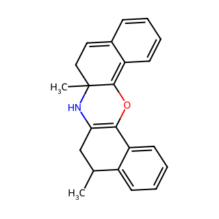 CC1CC2=C(OC3=c4ccccc4=CCC3(C)N2)c2ccccc21